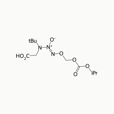 CC(C)OC(=O)OCO/N=[N+](\[O-])N(CC(=O)O)C(C)(C)C